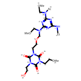 CCNc1nc(N(COC)COCCn2c(=O)n(CCO)c(=O)n(CCOC)c2=O)nc(N(COC)C(C)=O)n1